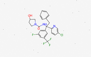 O=C(NC(Cc1ccccc1)(c1cc(F)cc(C(F)(F)F)c1)c1ccc(Cl)cn1)N1CCC(O)C1